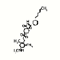 CCCCCC[C@@H]1CCC[C@H](C2=NC3(CCN(S(=O)(=O)CCc4c(C)cc(NC)cc4C)CC3)C(=O)N2)C1